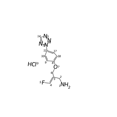 Cl.NC/C(=C/F)COc1ccc(-n2ncnn2)cc1